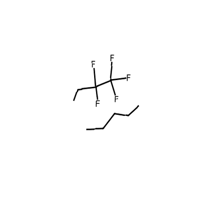 CCC(F)(F)C(F)(F)F.CCCCC